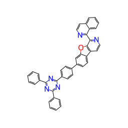 c1ccc(-c2nc(-c3ccccc3)nc(-c3ccc(-c4ccc5c(c4)oc4c(-c6nccc7ccccc67)nccc45)cc3)n2)cc1